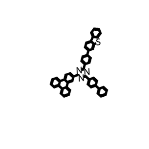 c1ccc(-c2ccc(-c3nc(-c4ccc(-c5ccc6c(c5)sc5ccccc56)cc4)nc(-c4ccc5c6ccccc6c6ccccc6c5c4)n3)cc2)cc1